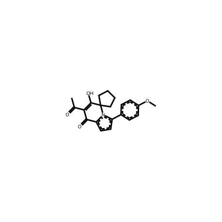 COc1ccc(-c2ccc3n2C2(CCCC2)C(O)=C(C(C)=O)C3=O)cc1